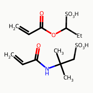 C=CC(=O)NC(C)(C)CS(=O)(=O)O.C=CC(=O)OC(CC)S(=O)(=O)O